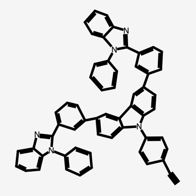 C#Cc1ccc(-n2c3ccc(-c4cccc(-c5nc6ccccc6n5-c5ccccc5)c4)cc3c3cc(-c4cccc(-c5nc6ccccc6n5-c5ccccc5)c4)ccc32)cc1